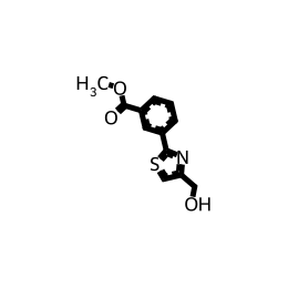 COC(=O)c1cccc(-c2nc(CO)cs2)c1